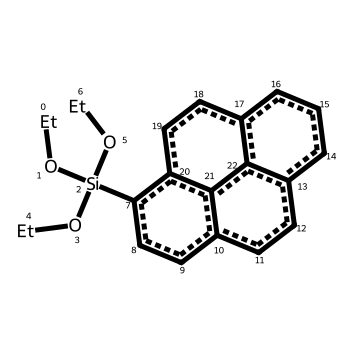 CCO[Si](OCC)(OCC)c1ccc2ccc3cccc4ccc1c2c34